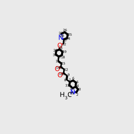 Cn1ccc2ccc(/C=C/C(=O)CC(=O)/C=C/c3ccc(OCc4ccccn4)cc3)cc21